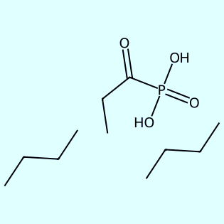 CCC(=O)P(=O)(O)O.CCCC.CCCC